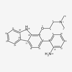 CN(C)CCOc1c(-c2ccccc2N)ccc2c1[nH]c1ccccc12